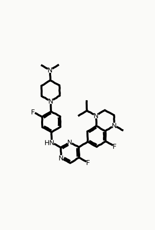 CC(C)N1CCN(C)c2c(F)cc(-c3nc(Nc4ccc(N5CCC(N(C)C)CC5)c(F)c4)ncc3F)cc21